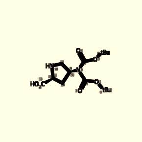 CC(C)(C)OC(=O)N(C(=O)OC(C)(C)C)[C@@H]1CN[C@H](C(=O)O)C1